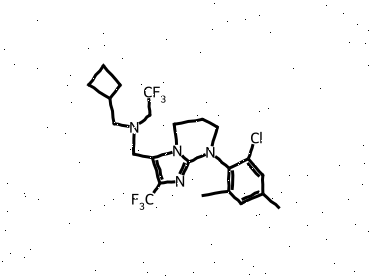 Cc1cc(C)c(N2CCCn3c2nc(C(F)(F)F)c3CN(CC2CCC2)CC(F)(F)F)c(Cl)c1